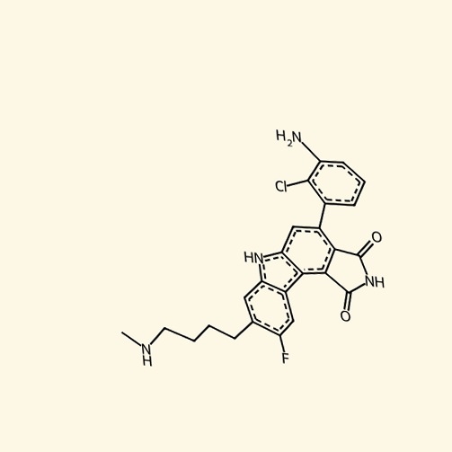 CNCCCCc1cc2[nH]c3cc(-c4cccc(N)c4Cl)c4c(c3c2cc1F)C(=O)NC4=O